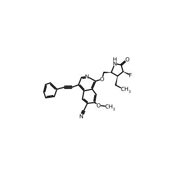 CC[C@@H]1[C@H](F)C(=O)N[C@@H]1COc1ncc(C#Cc2ccccc2)c2cc(C#N)c(OC)cc12